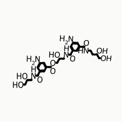 Nc1cc(C(=O)NCCC(O)CO)cc(C(=O)NCC(O)COC(=O)c2cc(N)cc(C(=O)NCC(O)CO)c2)c1